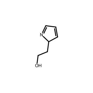 OCCC1C=CC=N1